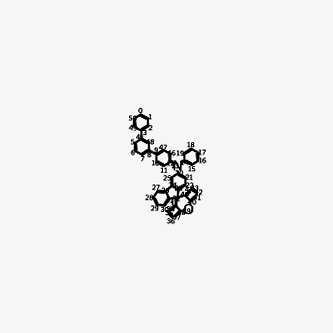 c1ccc(-c2cccc(-c3ccc(N(c4ccccc4)c4ccc5c(c4)-c4ccccc4C54c5ccccc5Oc5ccccc54)cc3)c2)cc1